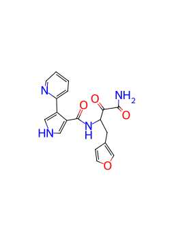 NC(=O)C(=O)C(Cc1ccoc1)NC(=O)c1c[nH]cc1-c1ccccn1